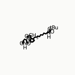 Cn1c(=O)n(C2CCC(=O)NC2=O)c2cccc(CCCCCCCCCNC(=O)OC(C)(C)C)c21